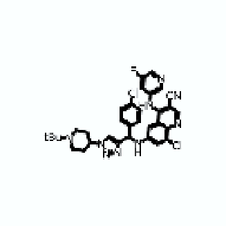 CC(C)(C)N1CCC(n2cc(C(Nc3cc(Cl)c4ncc(C#N)c(Nc5cncc(F)c5)c4c3)c3ccc(Cl)cc3)nn2)CC1